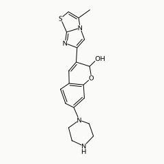 Cc1csc2nc(C3=Cc4ccc(N5CCNCC5)cc4OC3O)cn12